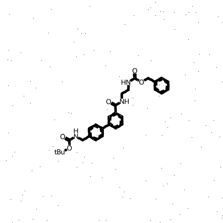 CC(C)(C)OC(=O)NCc1ccc(-c2cccc(C(=O)NCCNC(=O)OCc3ccccc3)c2)cc1